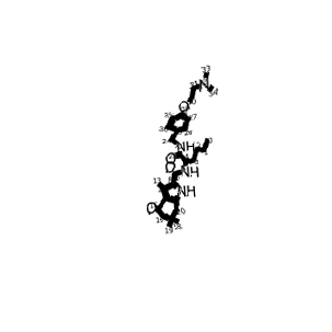 CCCCC(NC(=O)c1[nH]c2c(c1C)C(=O)CC(C)(C)C2)C(=O)NCc1ccc(OCCN(C)C)cc1